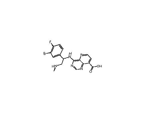 CNCC(Nc1ncnc2c(C(=O)O)ccnc12)c1ccc(F)c(Br)c1